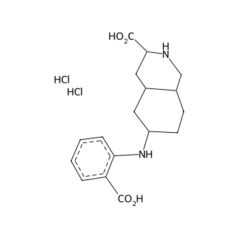 Cl.Cl.O=C(O)c1ccccc1NC1CCC2CNC(C(=O)O)CC2C1